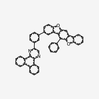 c1ccc(-c2c3oc4ccccc4c3cc3oc4ccc(-c5cccc(-c6cnc7c8ccccc8c8ccccc8c7n6)c5)cc4c23)cc1